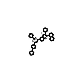 c1ccc(-c2ccc(-c3cc(-c4ccc5nc(-c6cccc7ccccc67)c6c7ccccc7oc6c5c4)nc(-c4ccccc4)n3)cc2)cc1